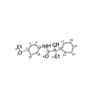 CCOc1ccc(NC(=O)C(C#N)(CC)c2ccccc2)cc1